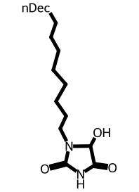 CCCCCCCCCCCCCCCCCCN1C(=O)NC(=O)C1O